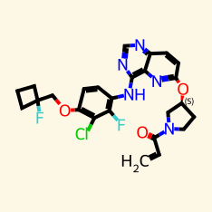 C=CC(=O)N1CC[C@H](Oc2ccc3ncnc(Nc4ccc(OCC5(F)CCC5)c(Cl)c4F)c3n2)C1